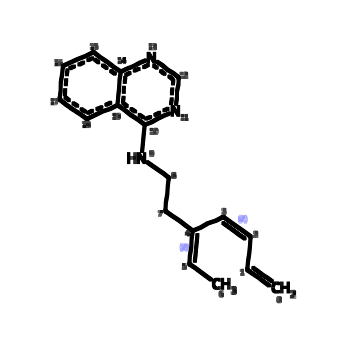 C=C/C=C\C(=C/C)CCNc1ncnc2ccccc12